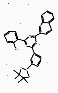 CC1(C)OB(c2cccc(-c3nc(-c4ccc5ccccc5c4)nc(-c4ccccc4C#N)n3)c2)OC1(C)C